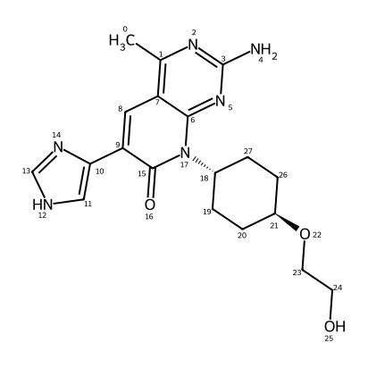 Cc1nc(N)nc2c1cc(-c1c[nH]cn1)c(=O)n2[C@H]1CC[C@H](OCCO)CC1